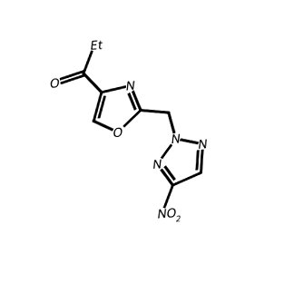 CCC(=O)c1coc(Cn2ncc([N+](=O)[O-])n2)n1